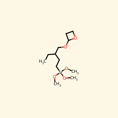 CCC(CC[Si](OC)(OC)OC)COC1CCO1